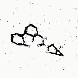 O=C(Nc1cccc(-c2ccccc2Cl)c1F)[C@@H]1C[C@H]2CC2N1